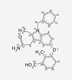 Cc1c(Oc2ccc3c(c2)c(CC(N)=O)c(C)n3Cc2ccccc2)cccc1C(=O)O